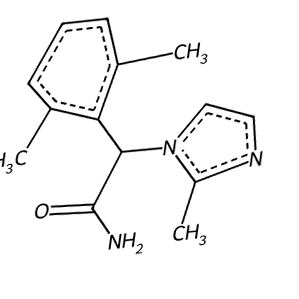 Cc1cccc(C)c1C(C(N)=O)n1ccnc1C